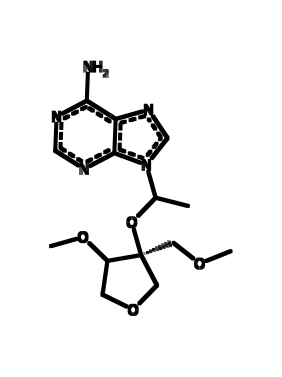 COC[C@]1(OC(C)n2cnc3c(N)ncnc32)COCC1OC